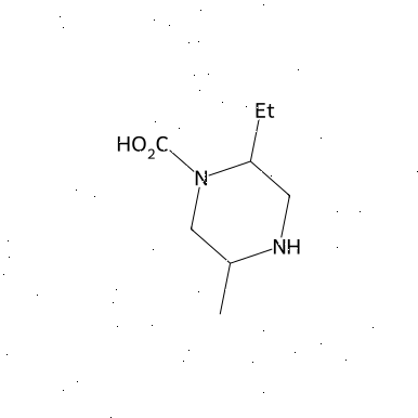 CCC1CNC(C)CN1C(=O)O